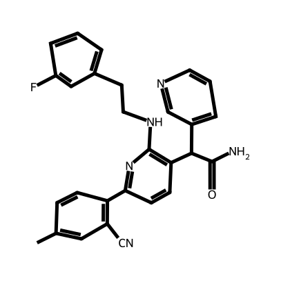 Cc1ccc(-c2ccc(C(C(N)=O)c3cccnc3)c(NCCc3cccc(F)c3)n2)c(C#N)c1